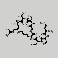 CSCC[C@H](N)C(=O)N[C@@H](CC(C)C)C(=O)N[C@@H](CC(C)C)C(=O)N[C@@H](CCCCN)C(=O)NCC(=O)N[C@@H](CO)C(=O)N[C@H](C(=O)N[C@@H](CCCNC(=N)N)C(=O)O)[C@@H](C)O